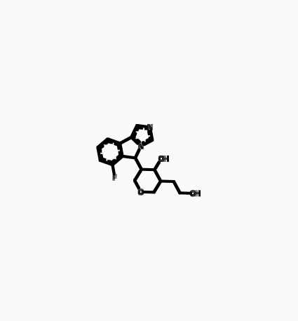 OCCC1COCC(C2c3c(F)cccc3-c3cncn32)C1O